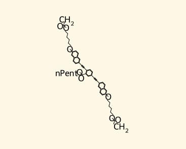 C=CC(=O)OCCCCCCOc1ccc2cc(C#Cc3ccc(C#Cc4ccc5cc(OCCCCCCOC(=O)C=C)ccc5c4)c(C(=O)OCCCCC)c3)ccc2c1